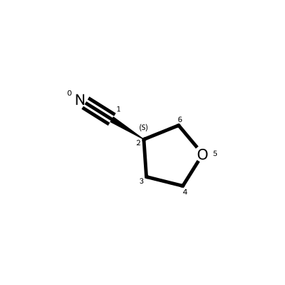 N#C[C@@H]1CCOC1